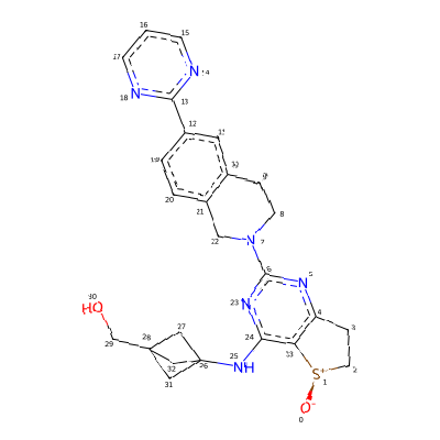 [O-][S@+]1CCc2nc(N3CCc4cc(-c5ncccn5)ccc4C3)nc(NC34CC(CO)(C3)C4)c21